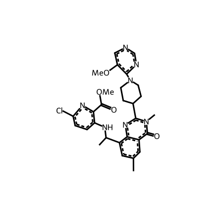 COC(=O)c1nc(Cl)ccc1NC(C)c1cc(C)cc2c(=O)n(C)c(C3CCN(c4ncncc4OC)CC3)nc12